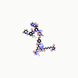 CC(C)[C@H](NC(=O)CCCCCN1C(=O)C=CC1=O)C(=O)N[C@@H](CCCNC(N)=O)C(=O)Nc1ccc(COC(=O)N(C)CC(=O)Nc2cc(C3(Cc4nncn4C)COC3)cc(N3Cc4c(cc(CN5CCC[C@H](C)C5)cc4C(F)(F)F)C3=O)n2)cc1